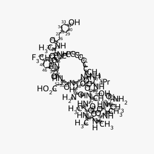 CC(C)C[C@@H](NC(=O)C1(C)CCCCCCCCC(C)(NC(=O)[C@@H](C)NC(=O)CCc2ccc(O)cc2)C(=O)N[C@H](Cc2ccc(C(F)(F)F)cc2)C(=O)N[C@H](CCC(=O)O)C(=O)N[C@H](CCC(N)=O)C(=O)N1)C(=O)N[C@H](CO)C(=O)N[C@H](C)C(=O)N[C@H](C)C(=O)N[C@H](C)C(=O)N[C@H](C)C(=O)N[C@H](C)C(=O)N[C@H](C)C(N)=O